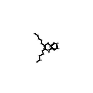 CCCCCC1=C(CCCCC)Oc2ccccc2C1